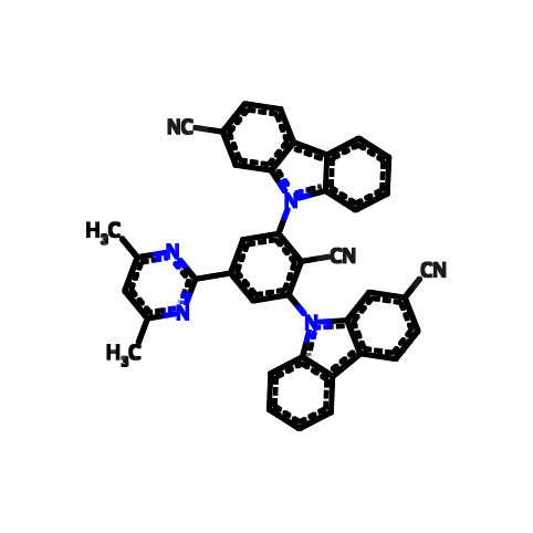 Cc1cc(C)nc(-c2cc(-n3c4ccccc4c4ccc(C#N)cc43)c(C#N)c(-n3c4ccccc4c4ccc(C#N)cc43)c2)n1